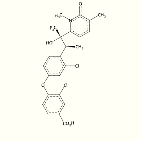 Cc1ccc([C@@](O)([C@@H](C)c2ccc(Oc3ccc(C(=O)O)cc3Cl)cc2Cl)C(F)(F)F)n(C)c1=O